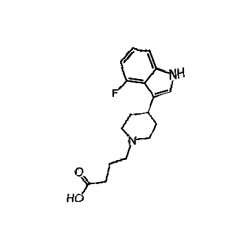 O=C(O)CCCN1CCC(c2c[nH]c3cccc(F)c23)CC1